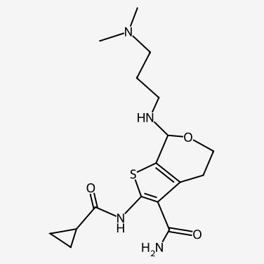 CN(C)CCCNC1OCCc2c1sc(NC(=O)C1CC1)c2C(N)=O